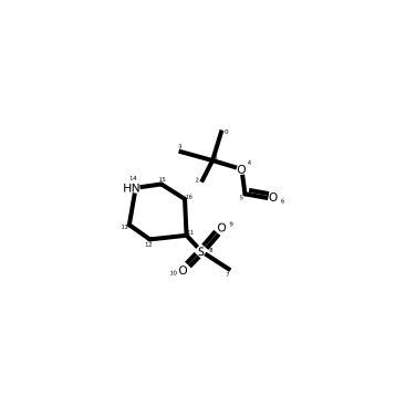 CC(C)(C)OC=O.CS(=O)(=O)C1CCNCC1